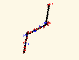 O=[C]COCCOCCNC(=O)COCCOCCNC(C=O)OCCOCCNC(=O)COCCOCCNC(=O)CCC(NC(=O)CCCCCCCCCCCCCCCCC(=O)O)C(=O)O